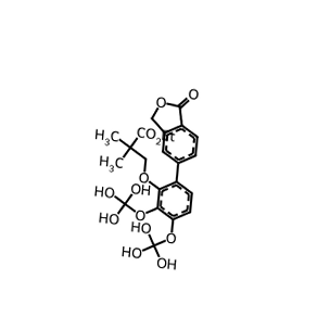 CCOC(=O)C(C)(C)COc1c(-c2ccc3c(c2)COC3=O)ccc(OC(O)(O)O)c1OC(O)(O)O